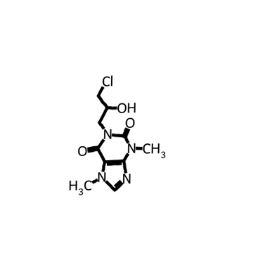 Cn1cnc2c1c(=O)n(CC(O)CCl)c(=O)n2C